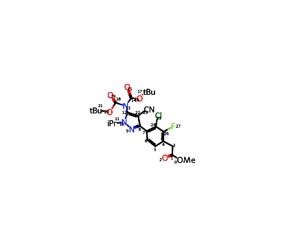 COC(=O)Cc1ccc(-c2nn(C(C)C)c(N(C(=O)OC(C)(C)C)C(=O)OC(C)(C)C)c2C#N)c(Cl)c1F